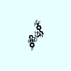 O=C(NCc1nccc(-c2ccc(C(F)(F)F)cc2)n1)[C@@H]1CCCN1S(=O)(=O)c1ccc(F)cc1